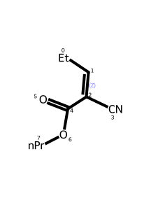 CC/C=C(/C#N)C(=O)OCCC